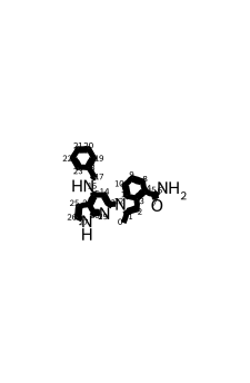 Cc1cc2c(C(N)=O)cccc2n1-c1cc(NCc2ccccc2)c2cc[nH]c2n1